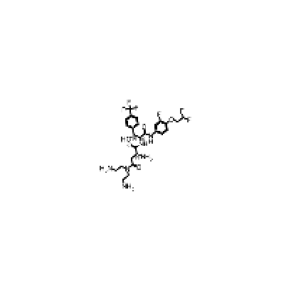 NCCN(CCN)C(=O)C[C@H](N)C(=O)N[C@H](C(=O)Nc1ccc(OCC(F)F)c(F)c1)[C@H](O)c1ccc(C(F)(F)F)cc1